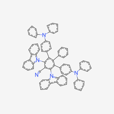 N#Cc1c(-n2c3ccccc3c3ccccc32)c(-c2ccc(N(c3ccccc3)c3ccccc3)cc2)c(-c2ccccc2)c(-c2ccc(N(c3ccccc3)c3ccccc3)cc2)c1-n1c2ccccc2c2ccccc21